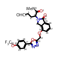 CNC(=O)C(CCC=O)N1Cc2c(OCc3nnc(-c4ccc(OC(F)(F)F)cc4)o3)cccc2C1=O